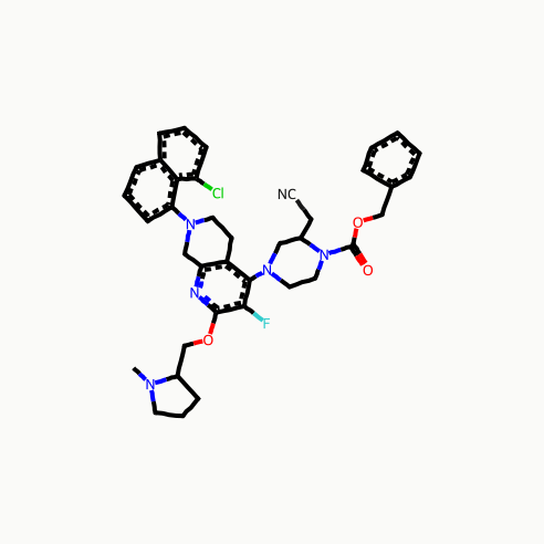 CN1CCCC1COc1nc2c(c(N3CCN(C(=O)OCc4ccccc4)C(CC#N)C3)c1F)CCN(c1cccc3cccc(Cl)c13)C2